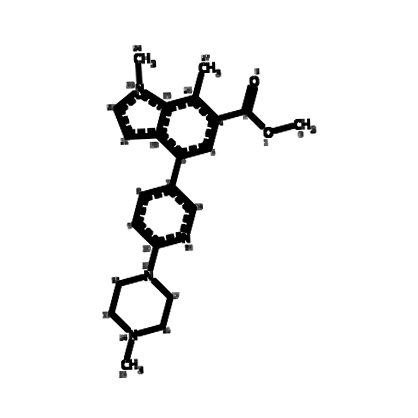 COC(=O)c1cc(-c2ccc(N3CCN(C)CC3)nc2)c2ccn(C)c2c1C